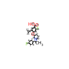 C[C@@H](c1ccc(F)cc1)N1CCC[C@@H](Oc2cc(F)c(C(=O)O)cc2C2CC2)C1